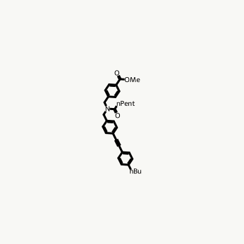 CCCCCC(=O)N(Cc1ccc(C#Cc2ccc(CCCC)cc2)cc1)Cc1ccc(C(=O)OC)cc1